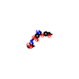 COc1cc2c(Oc3ccc4cc(C)oc4c3)ccnc2cc1OCCN1CC2(CC2)C2(C1)OCCO2